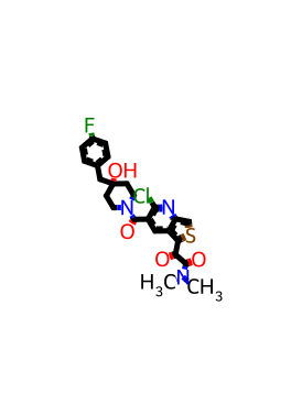 CN(C)C(=O)C(=O)c1scc2nc(Cl)c(C(=O)N3CCC(O)(Cc4ccc(F)cc4)CC3)cc12